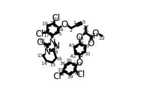 C#CCOc1cc(-n2nc3n(c2=O)CCCC3)c(Cl)cc1Cl.COC(=O)C(C)Oc1ccc(Oc2ccc(Cl)cc2Cl)cc1